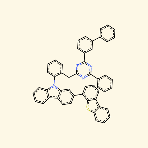 c1ccc(-c2cccc(-c3nc(Cc4ccccc4-n4c5ccccc5c5ccc(-c6cccc7c6sc6ccccc67)cc54)nc(-c4ccccc4)n3)c2)cc1